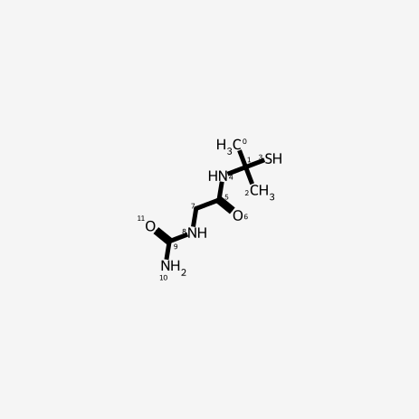 CC(C)(S)NC(=O)CNC(N)=O